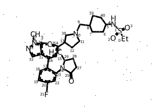 CCS(=O)(=O)NC1CCC(CN2CCC(c3cc(-c4ccc(F)cc4N4C(=O)CCC4C)c4cnn(C)c4c3)C2)CC1